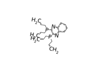 C=CCP(CC=C)c1nc2ccccc2nc1P(CC=C)CC=C